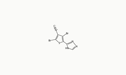 [C-]#[N+]c1c(Br)sc(-c2nnc[nH]2)c1Br